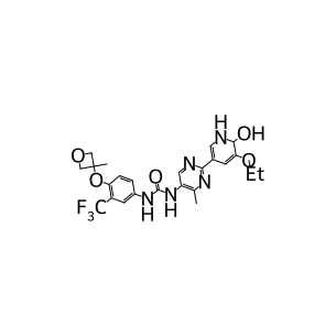 CCOC1=CC(c2ncc(NC(=O)Nc3ccc(OC4(C)COC4)c(C(F)(F)F)c3)c(C)n2)=CNC1O